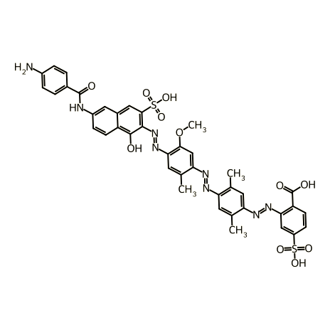 COc1cc(N=Nc2cc(C)c(N=Nc3cc(S(=O)(=O)O)ccc3C(=O)O)cc2C)c(C)cc1N=Nc1c(S(=O)(=O)O)cc2cc(NC(=O)c3ccc(N)cc3)ccc2c1O